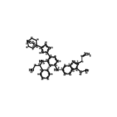 C=CCn1nc2cc(Nc3ncc(-c4nc(C56CCN(CC5)CC6)no4)c(NC(CO)c4ccccc4)n3)ccc2c1OC(C)C